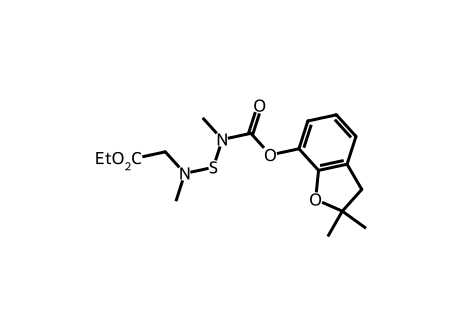 CCOC(=O)CN(C)SN(C)C(=O)Oc1cccc2c1OC(C)(C)C2